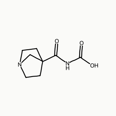 O=C(O)NC(=O)C12CCN(CC1)C2